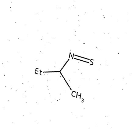 CCC(C)N=S